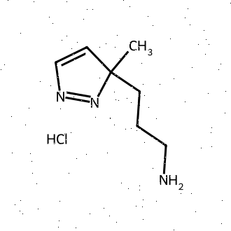 CC1(CCCN)C=CN=N1.Cl